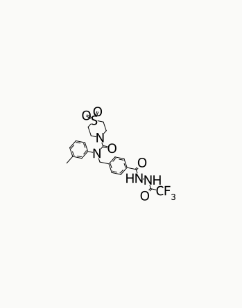 Cc1cccc(N(Cc2ccc(C(=O)NNC(=O)C(F)(F)F)cc2)C(=O)N2CCS(=O)(=O)CC2)c1